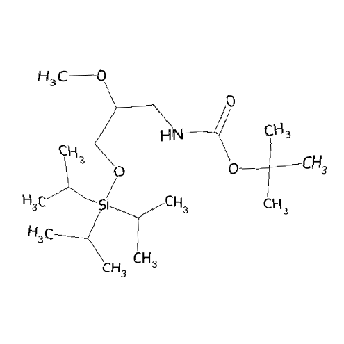 COC(CNC(=O)OC(C)(C)C)CO[Si](C(C)C)(C(C)C)C(C)C